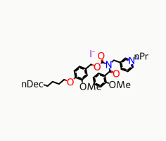 CCCCCCCCCCCCCCOc1ccc(COC(=O)N(Cc2ccc[n+](CCC)c2)C(=O)c2ccccc2OC)cc1OC.[I-]